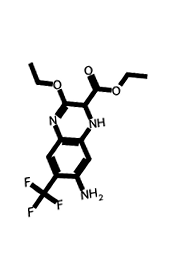 CCOC(=O)C1Nc2cc(N)c(C(F)(F)F)cc2N=C1OCC